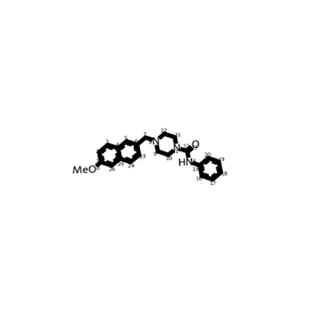 COc1ccc2cc(CN3CCN(C(=O)Nc4ccccc4)CC3)ccc2c1